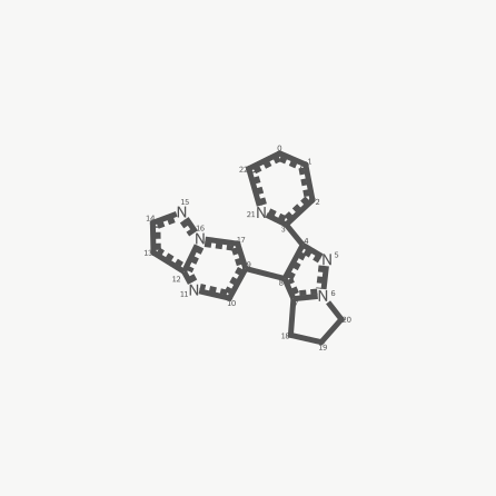 c1ccc(-c2nn3c(c2-c2cnc4ccnn4c2)CCC3)nc1